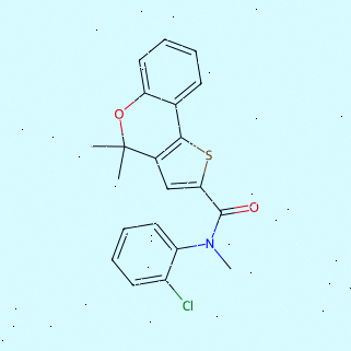 CN(C(=O)c1cc2c(s1)-c1ccccc1OC2(C)C)c1ccccc1Cl